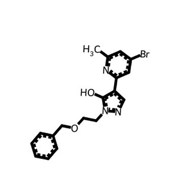 Cc1cc(Br)cc(-c2cnn(CCOCc3ccccc3)c2O)n1